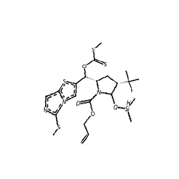 C=CCOC(=O)N1C(O[SiH](C)C)[C@@H](C(C)(C)C)C[C@H]1C(OC(=S)SC)c1cn2c(SC)ncc2s1